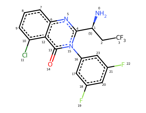 N[C@@H](CC(F)(F)F)c1nc2cccc(Cl)c2c(=O)n1-c1cc(F)cc(F)c1